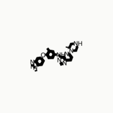 Cc1cc(Nc2ncnc3ccc(N4CCNC[C@@H]4C)nc23)ccc1Oc1ccc2c(c1)nnn2C